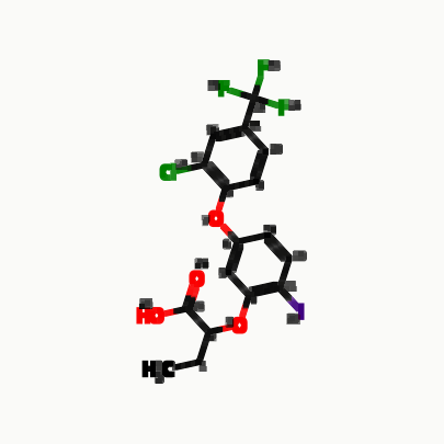 CCC(Oc1cc(Oc2ccc(C(F)(F)F)cc2Cl)ccc1I)C(=O)O